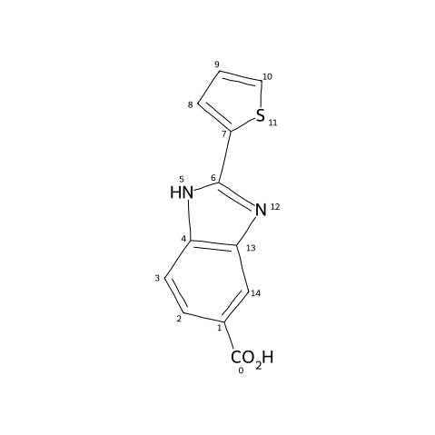 O=C(O)c1ccc2[nH]c(-c3cccs3)nc2c1